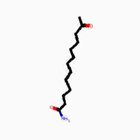 CC(=O)CCCCCCCCCCC(N)=O